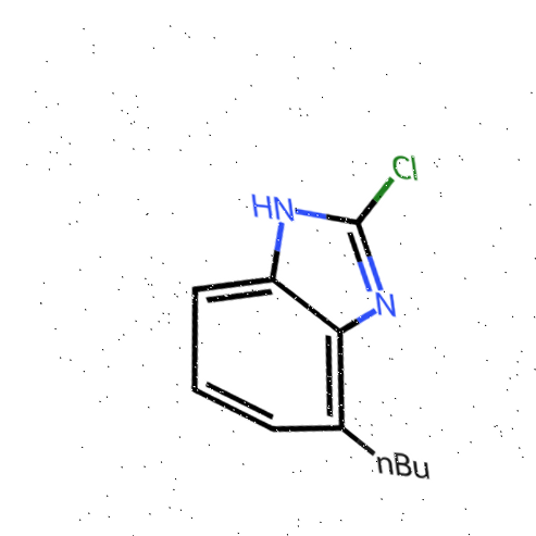 CCCCc1cccc2[nH]c(Cl)nc12